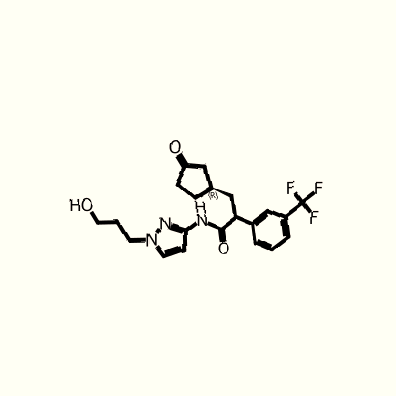 O=C1CC[C@H](CC(C(=O)Nc2ccn(CCCO)n2)c2cccc(C(F)(F)F)c2)C1